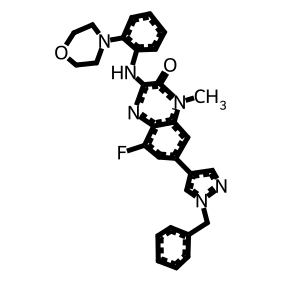 Cn1c(=O)c(Nc2ccccc2N2CCOCC2)nc2c(F)cc(-c3cnn(Cc4ccccc4)c3)cc21